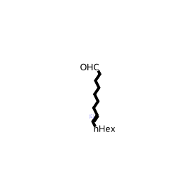 CCCCCC/C=C/CCCCCCC=O